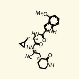 COc1cccc2[nH]c(C(=O)N[C@@H](CC3CC3)C(=O)N[C@H](C#N)C[C@@H]3CCCNC3=O)cc12